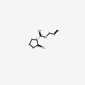 C=CCOC(=O)[C@H]1CCCC1=O